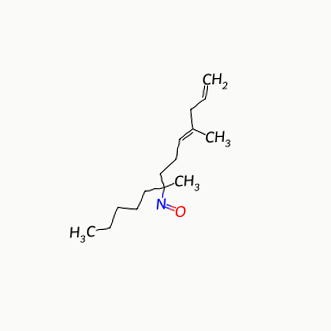 C=CC/C(C)=C/CCC(C)(CCCCC)N=O